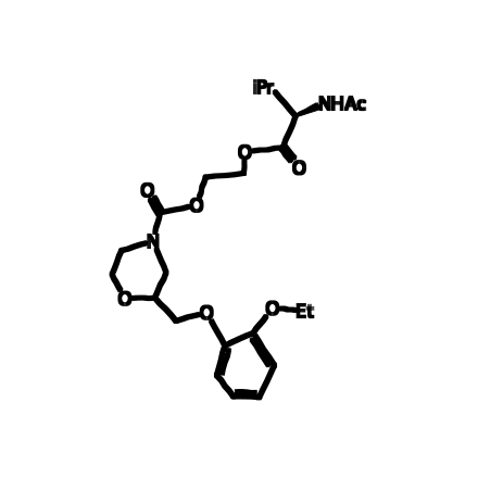 CCOc1ccccc1OCC1CN(C(=O)OCCOC(=O)[C@H](NC(C)=O)C(C)C)CCO1